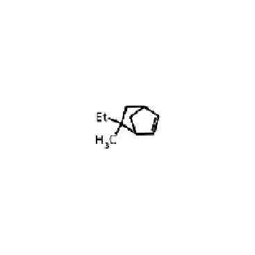 CCC1(C)CC2C=CC1C2